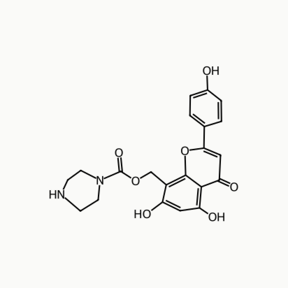 O=C(OCc1c(O)cc(O)c2c(=O)cc(-c3ccc(O)cc3)oc12)N1CCNCC1